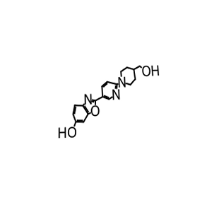 OCC1CCN(c2ccc(-c3nc4ccc(O)cc4o3)cn2)CC1